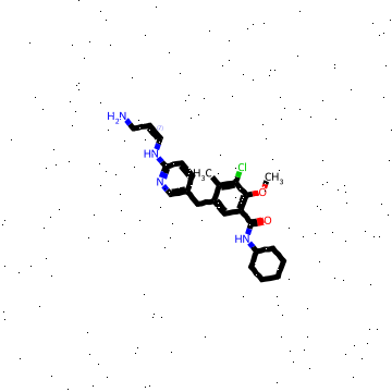 COc1c(C(=O)NC2CCCCC2)cc(Cc2ccc(N/C=C\CN)nc2)c(C)c1Cl